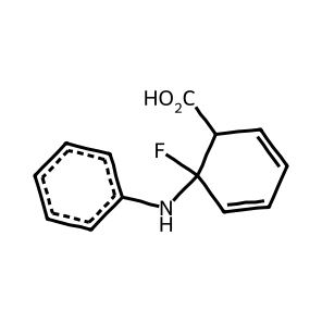 O=C(O)C1C=CC=CC1(F)Nc1ccccc1